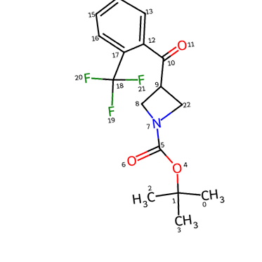 CC(C)(C)OC(=O)N1CC(C(=O)c2ccccc2C(F)(F)F)C1